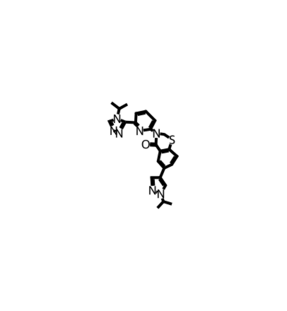 CC(C)n1cc(-c2ccc3c(c2)C(=O)N(c2cccc(-c4nncn4C(C)C)n2)CS3)cn1